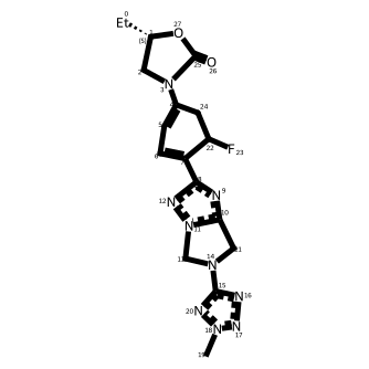 CC[C@H]1CN(C2=CC=C(c3nc4n(n3)CN(c3nnn(C)n3)C4)C(F)C2)C(=O)O1